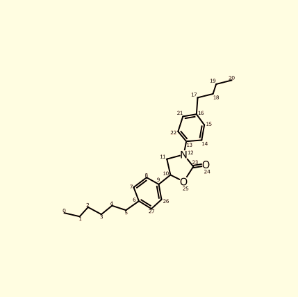 CCCCCCc1ccc(C2CN(c3ccc(CCCC)cc3)C(=O)O2)cc1